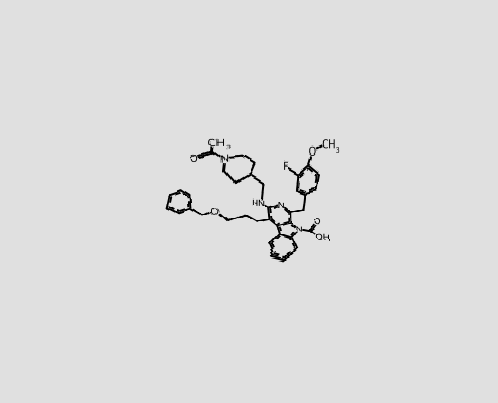 COc1ccc(Cc2nc(NCC3CCN(C(C)=O)CC3)c(CCCOCc3ccccc3)c3c4ccccc4n(C(=O)O)c23)cc1F